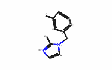 Cc1cccc(Cn2c[c]nc2C)c1